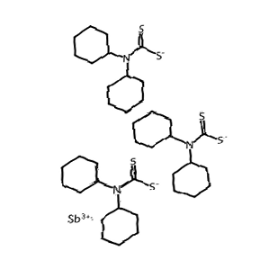 S=C([S-])N(C1CCCCC1)C1CCCCC1.S=C([S-])N(C1CCCCC1)C1CCCCC1.S=C([S-])N(C1CCCCC1)C1CCCCC1.[Sb+3]